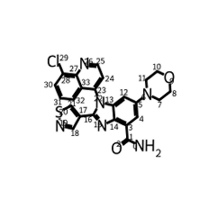 NC(=O)c1cc(N2CCOCC2)cc2c1nc(-c1cnsc1)n2-c1ccnc2c(Cl)cccc12